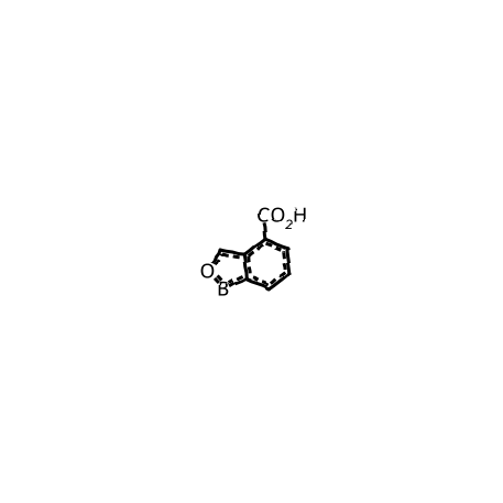 O=C(O)c1cccc2bocc12